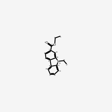 CCOC(=O)c1ccc2c3ccccc3n(CC)c2c1